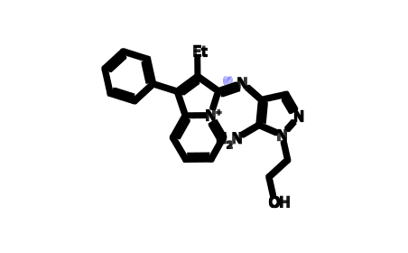 CCC1=C(c2ccccc2)c2cccc[n+]2/C1=N\c1cnn(CCO)c1N